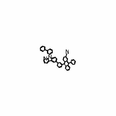 N#Cc1ccc2c(C3=CC(c4ccc5c(c4)c4cccnc4n5-c4cccc(-c5ccccc5)c4)CC=C3)c3ccccc3c(-c3ccccc3)c2c1